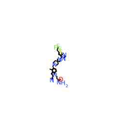 Cc1c(CN2CCC3(CC2)CN(c2ncnc4sc(CC(F)(F)F)cc24)C3)ccc2c1cc(C#N)n2CCC(N)=O